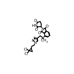 CN(Cc1cn(CCC2CC2(Cl)Cl)nn1)c1cccc2c1C(=O)N(C1CCC(=O)NC1=O)C2=O